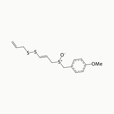 C=CCSSC=CC[S+]([O-])Cc1ccc(OC)cc1